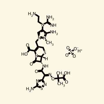 Cn1c(N)c(N(CCN)C(=N)N)c[n+]1CC1=C(C(=O)O)N2C(=O)[C@@H](NC(=O)C(=NOC(C)(C)C(=O)O)c3nsc(N)n3)[C@H]2SC1.O=S(=O)([O-])[O-].[H+]